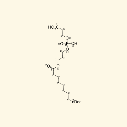 CCCCCCCCCCCCCCCCCC(=O)OCCCOP(=O)(O)OCCC(=O)O